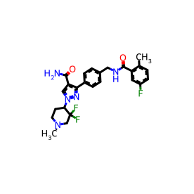 Cc1ccc(F)cc1C(=O)NCc1ccc(-c2nn(C3CCN(C)CC3(F)F)cc2C(N)=O)cc1